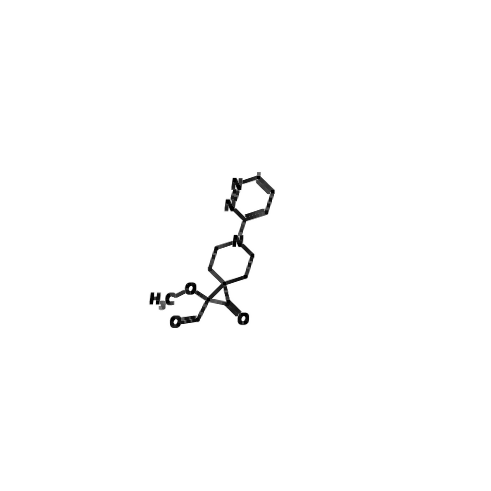 COC1(C=O)C(=O)C12CCN(c1cc[c]nn1)CC2